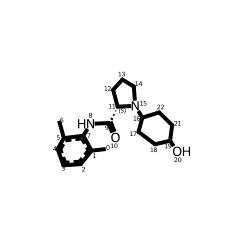 Cc1cccc(C)c1NC(=O)[C@@H]1CCCN1C1CCC(O)CC1